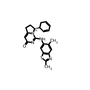 Cc1nc2cc(C)c(Nc3nc(=O)cc4n3[C@H](C3C=CC=CC3)CC4)cc2s1